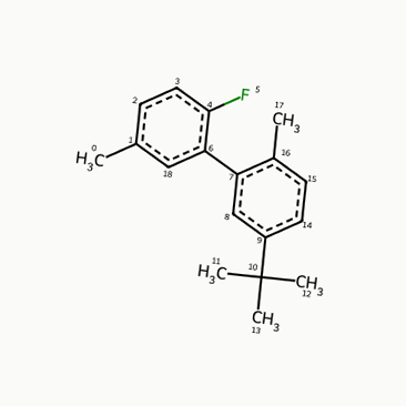 Cc1ccc(F)c(-c2cc(C(C)(C)C)ccc2C)c1